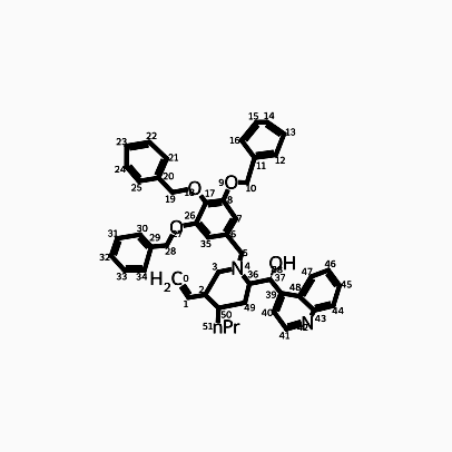 C=CC1CN(Cc2cc(OCc3ccccc3)c(OCc3ccccc3)c(OCc3ccccc3)c2)C([C@H](O)c2ccnc3ccccc23)CC1CCC